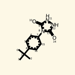 CC(C)(C)c1ccc(-n2c(=O)[nH][nH]c2=O)cc1